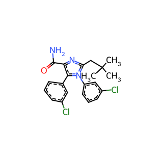 CC(C)(C)Cc1nc(C(N)=O)c(-c2cccc(Cl)c2)n1-c1cccc(Cl)c1